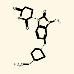 Cn1c(=O)n([C@H]2CCC(=O)NC2=O)c2ccc(C[C@H]3CC[C@@H](CC(=O)O)CC3)cc21